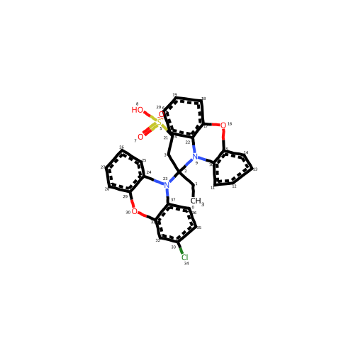 CCC(CCS(=O)(=O)O)(N1c2ccccc2Oc2ccccc21)N1c2ccccc2Oc2cc(Cl)ccc21